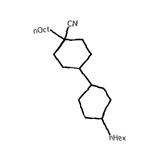 CCCCCCCCC1(C#N)CCC(C2CCC(CCCCCC)CC2)CC1